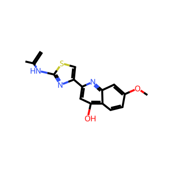 C=C(C)Nc1nc(-c2cc(O)c3ccc(OC)cc3n2)cs1